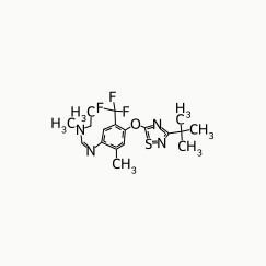 CCN(C)/C=N\c1cc(C(F)(F)F)c(Oc2nc(C(C)(C)C)ns2)cc1C